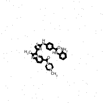 Cc1nc2ccc(C(=O)N3CCN(C)CC3)cn2c1-c1csc(Nc2ccc(C(=O)Nc3ccccc3N)cc2)n1